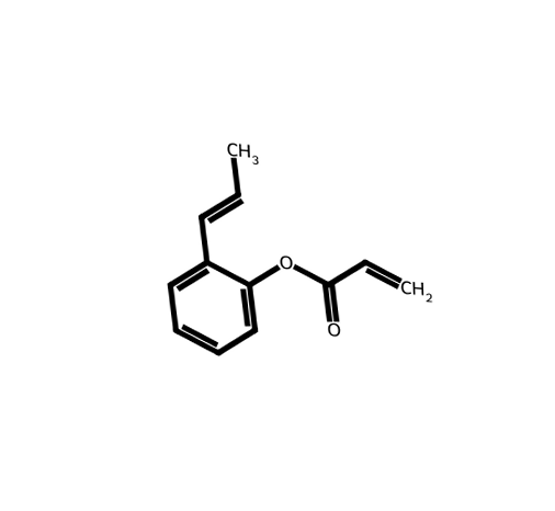 C=CC(=O)Oc1ccccc1C=CC